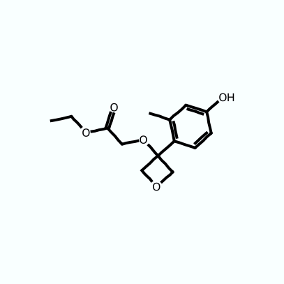 CCOC(=O)COC1(c2ccc(O)cc2C)COC1